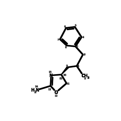 CC(Cc1ccccc1)C[C@H]1COC(N)=N1